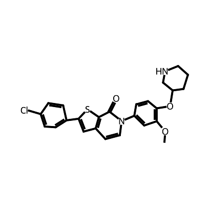 COc1cc(-n2ccc3cc(-c4ccc(Cl)cc4)sc3c2=O)ccc1OC1CCCNC1